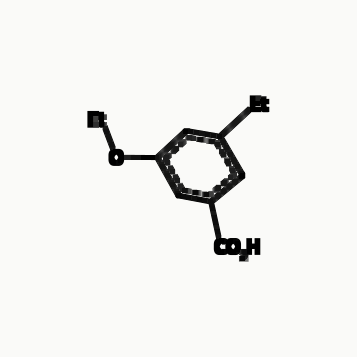 CCOc1cc(CC)cc(C(=O)O)c1